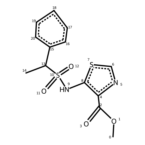 COC(=O)c1ncsc1NS(=O)(=O)C(C)c1ccccc1